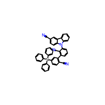 N#Cc1ccc2c(c1)c1ccccc1n2-c1cccc(-c2cc([Si](c3ccccc3)(c3ccccc3)c3ccccc3)ccc2C#N)c1C#N